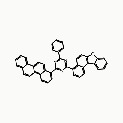 c1ccc(-c2nc(-c3cccc4c3ccc3c5ccccc5ccc43)nc(-c3cccc4c3ccc3oc5ccccc5c34)n2)cc1